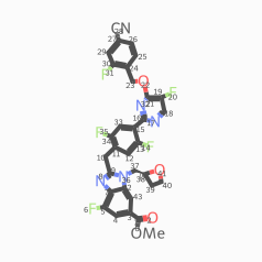 COC(=O)c1cc(F)c2nc(Cc3cc(F)c(-c4ncc(F)c(OCc5ccc(C#N)cc5F)n4)cc3F)n(C[C@@H]3CCO3)c2c1